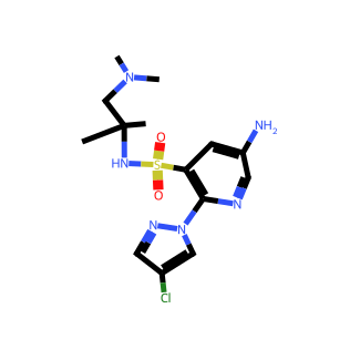 CN(C)CC(C)(C)NS(=O)(=O)c1cc(N)cnc1-n1cc(Cl)cn1